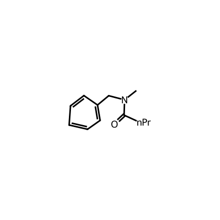 [CH2]CCC(=O)N(C)Cc1ccccc1